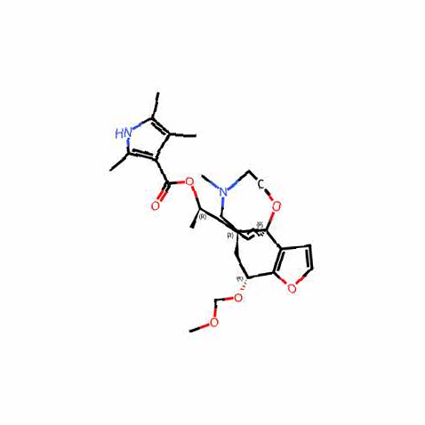 COCO[C@@H]1C[C@@]23CN(C)CCO[C@@]2(CC=C3[C@@H](C)OC(=O)c2c(C)[nH]c(C)c2C)c2ccoc21